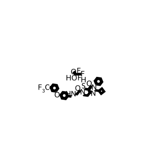 O=C(CNCc1ccc(Oc2cccc(C(F)(F)F)c2)cc1)N1CCc2nc(C3CCC3)n(-c3ccccc3)c(=O)c2C1S.O=C(O)C(F)(F)F